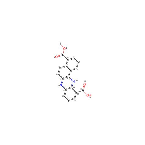 COC(=O)c1cccc2c1ccc1nc3cccc(C(=O)O)c3nc12